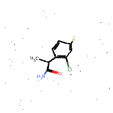 CC(C(N)=O)c1ccc(F)cc1Cl